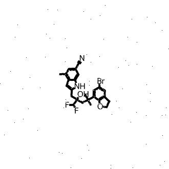 Cc1cc(C#N)cc2[nH]c(CC(O)(CC(C)(C)c3cc(Br)cc4c3OCC4)C(F)F)cc12